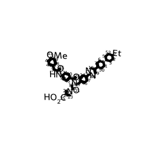 CC[C@H]1CC[C@H](C2CC=C(c3cnc(-c4ccc(CN(CC(=O)N5CC(C(=O)O)C5)C(=O)c5ccc(NC(=O)Cc6ccc(OC)cc6)cc5)cc4)nc3)CC2)CC1